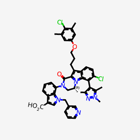 Cc1cc(OCCCc2c3n(c4c(-c5c(C)nn(C)c5C)c(Cl)ccc24)[C@H](C)CN(c2cccc4c(C(=O)O)cn(Cc5cccnc5)c24)C3=O)cc(C)c1Cl